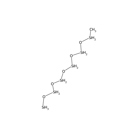 C[SiH2]O[SiH2]O[SiH2]O[SiH2]O[SiH2]O[SiH3]